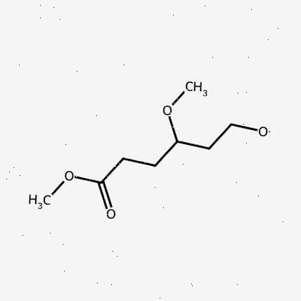 COC(=O)CCC(CC[O])OC